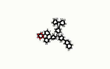 c1ccc(-c2ccccc2-c2c(-c3ccccc3)cccc2-c2ccc(N(c3ccc(-c4ccc5ccccc5c4)cc3)c3ccc(-n4c5ccccc5c5ccccc54)cc3)cc2)cc1